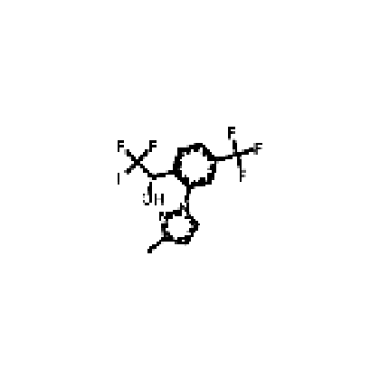 Cc1ccn(-c2cc(C(F)(F)F)ccc2[C@@H](O)C(F)(F)F)n1